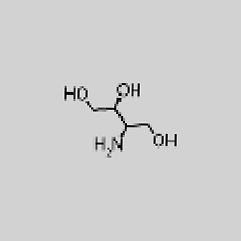 N[C@H](CO)[C@H](O)CO